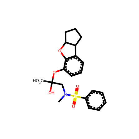 CN(CC(O)(Oc1cccc2c1OC1CCCC21)C(=O)O)S(=O)(=O)c1ccccc1